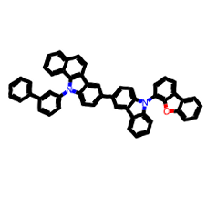 c1ccc(-c2cccc(-n3c4ccc(-c5ccc6c(c5)c5ccccc5n6-c5cccc6c5oc5ccccc56)cc4c4ccc5ccccc5c43)c2)cc1